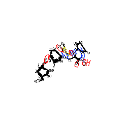 Cc1ccc(Oc2ccc(N(CC(NC3CCCC3)C(=O)NO)S(C)(=O)=O)cc2)cc1